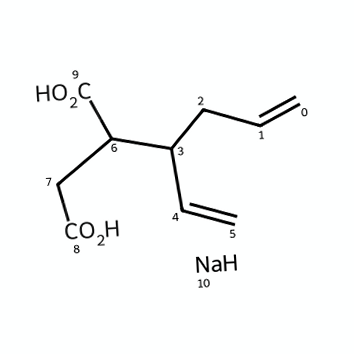 C=CCC(C=C)C(CC(=O)O)C(=O)O.[NaH]